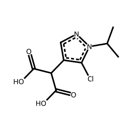 CC(C)n1ncc(C(C(=O)O)C(=O)O)c1Cl